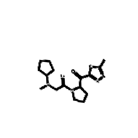 Cc1nnc(C(=O)C2CCCN2C(=O)CN(C)C2CCCC2)o1